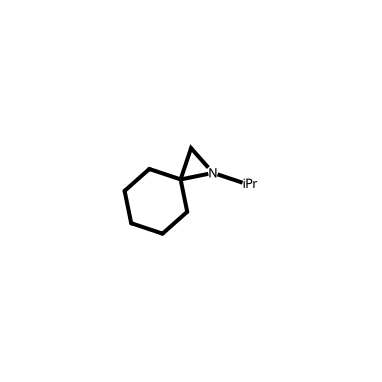 CC(C)N1CC12CCCCC2